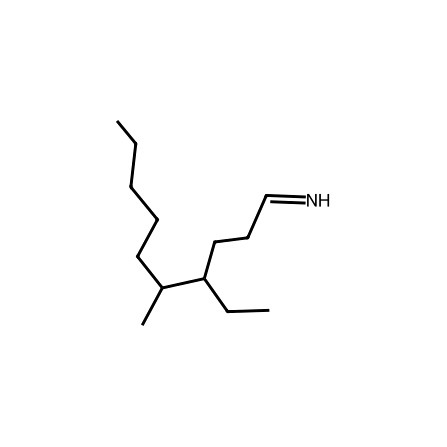 CCCCCC(C)C(CC)CCC=N